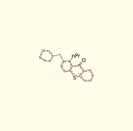 CCCc1c(Cc2ccccc2)ccc2sc3ccccc3c(=O)c12